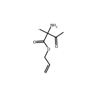 [CH2]C(N)(C(C)=O)C(=O)OCC=C